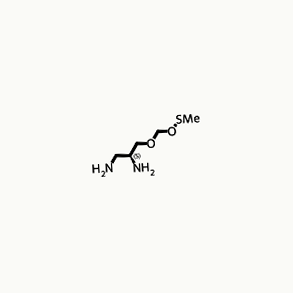 CSOCOC[C@@H](N)CN